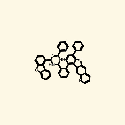 c1ccc(C2=NC(c3cccc4oc5ccccc5c34)NC(c3ccccc3-c3ccc(-c4ccccc4)c4oc5cc6cccnc6cc5c34)N2)cc1